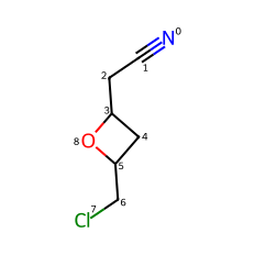 N#CCC1CC(CCl)O1